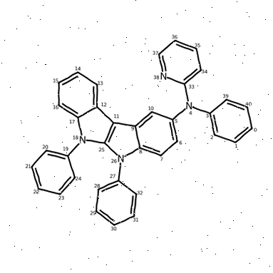 c1ccc(N(c2ccc3c(c2)c2c4ccccc4n(-c4ccccc4)c2n3-c2ccccc2)c2ccccn2)cc1